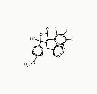 COc1ccc(C2(O)OC(=O)C(c3c(F)c(F)c(F)c(F)c3F)=C2Cc2ccccc2)cc1